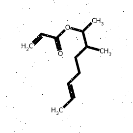 C=CC(=O)OC(C)C(C)CCC=CC